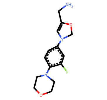 NCC1=CN(c2ccc(N3CCOCC3)c(F)c2)CO1